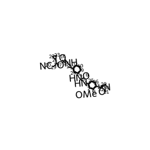 COc1cc(NC(=O)Nc2cccc(CNC(=O)OC(CC#N)C3CC3)c2)ccc1-c1cnco1